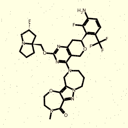 CN1CCOc2c(nn3c2CN(c2nc(OC[C@@]45CCCN4C[C@H](F)C5)nc4c2CO[C@H](c2c(C(F)(F)F)ccc(N)c2F)C4)CCC3)C1=O